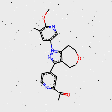 COc1ncc(-n2nc(-c3ccnc(C(C)=O)c3)c3c2CCOCC3)cc1C